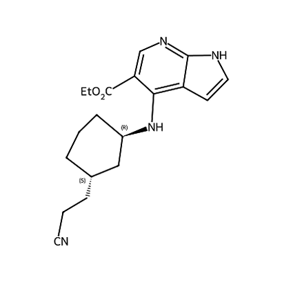 CCOC(=O)c1cnc2[nH]ccc2c1N[C@@H]1CCC[C@@H](CCC#N)C1